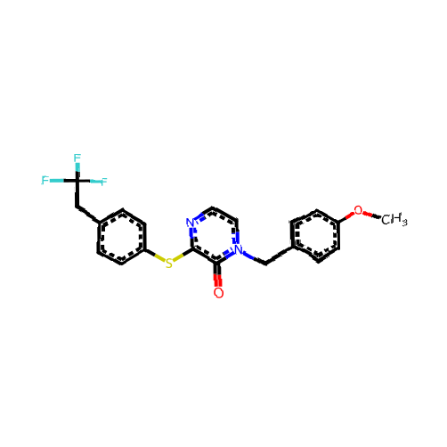 COc1ccc(Cn2ccnc(Sc3ccc(CC(F)(F)F)cc3)c2=O)cc1